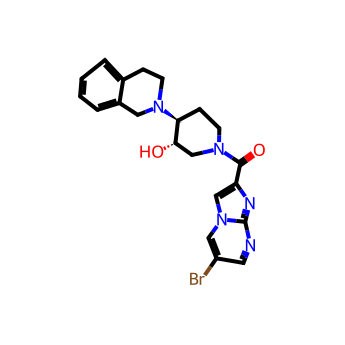 O=C(c1cn2cc(Br)cnc2n1)N1CC[C@H](N2CCc3ccccc3C2)[C@@H](O)C1